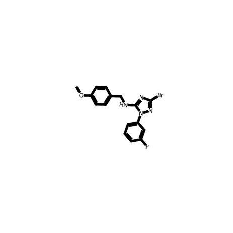 COc1ccc(CNc2nc(Br)nn2-c2cccc(F)c2)cc1